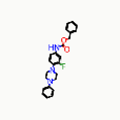 O=C(Nc1ccc(N2CCN(c3ccccc3)CC2)c(F)c1)OCc1ccccc1